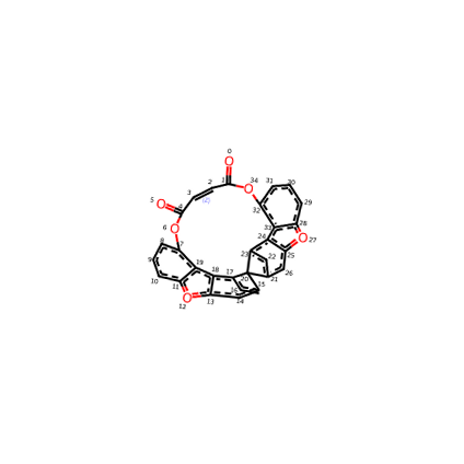 O=C1/C=C\C(=O)Oc2cccc3oc4cc5cc(c4c23)C52c3cc2c2c(c3)oc3cccc(c32)O1